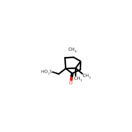 C.CC1(C)C2CCC1(CS(=O)(=O)O)C(=O)C2